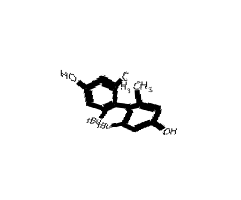 Cc1cc(O)cc(C(C)(C)C)c1-c1c(C)cc(O)cc1C(C)(C)C